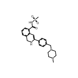 CN1CCN(Cc2ccc(C3=Cc4c(cccc4C(=O)NS(C)(=O)=O)CN3)cc2)CC1